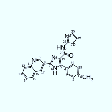 Cc1ccc(-c2[nH]c(-c3cnc4ccccc4c3)nc2C(=O)Nc2nccs2)cc1